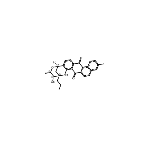 CCC[C@]12C[C@@H](O[C@H](C)[C@H]1O)c1ccc3c(c1N2)C(=O)c1ccc2cc(C)ccc2c1C3=O